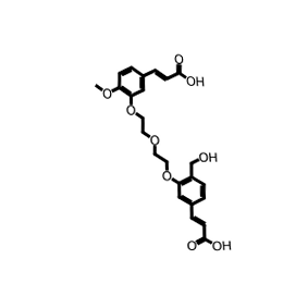 COc1ccc(/C=C/C(=O)O)cc1OCCOCCOc1cc(/C=C/C(=O)O)ccc1CO